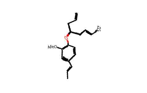 C=CCC(CC=CCC)Oc1ccc(C=CC)cc1OC